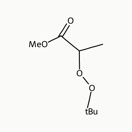 COC(=O)C(C)OOC(C)(C)C